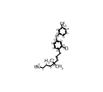 CC(C)(C)CCCC(C)(C)CCCc1ccc(Sc2cccc(C(F)(F)F)c2)cc1Cl